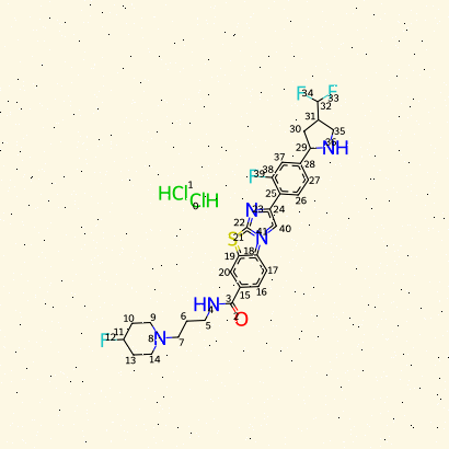 Cl.Cl.O=C(NCCCN1CCC(F)CC1)c1ccc2c(c1)sc1nc(-c3ccc(C4CC(C(F)F)CN4)cc3F)cn12